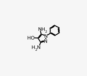 Nc1nn(-c2ccccc2)c(N)c1O